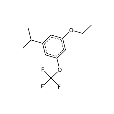 CCOc1cc(OC(F)(F)F)cc([C](C)C)c1